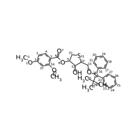 COc1ccc(C(=O)OC2CSC(CO[Si](c3ccccc3)(c3ccccc3)C(C)(C)C)C2O)c(OC)c1